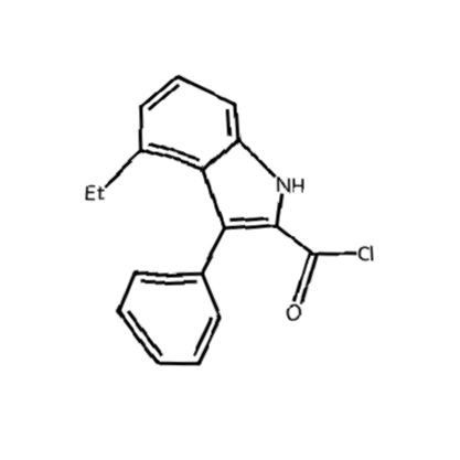 CCc1cccc2[nH]c(C(=O)Cl)c(-c3ccccc3)c12